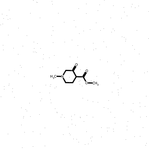 COC(=O)C1CCN(C)CC1=O